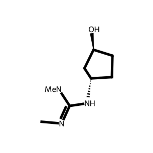 C/N=C(\NC)N[C@H]1CC[C@H](O)C1